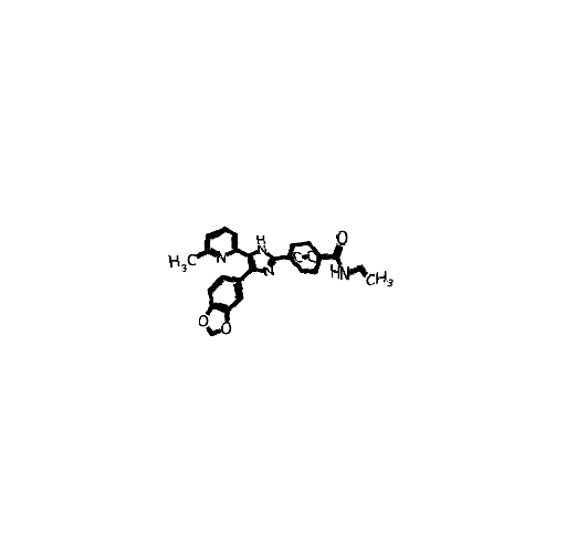 CCNC(=O)C12CCC(c3nc(-c4ccc5c(c4)OCO5)c(-c4cccc(C)n4)[nH]3)(CC1)CC2